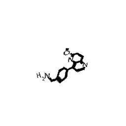 COc1ccc2nccc(-c3ccc(CN)cc3)c2n1